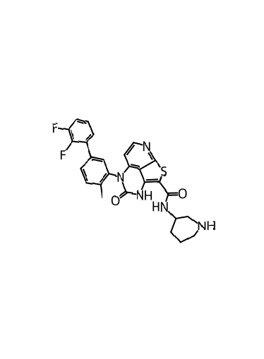 Cc1ccc(-c2cccc(F)c2F)cc1N1C(=O)Nc2c(C(=O)NC3CCCNC3)sc3nccc1c23